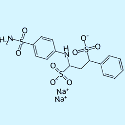 NS(=O)(=O)c1ccc(NC(CC(c2ccccc2)S(=O)(=O)[O-])S(=O)(=O)[O-])cc1.[Na+].[Na+]